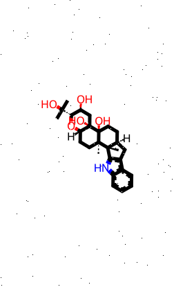 CC(C)(O)[C@H]1O[C@H]2CC[C@@]3(C)[C@@](O)(CC[C@H]4Cc5c([nH]c6ccccc56)[C@@]43C)[C@@]2(O)C[C@@H]1O